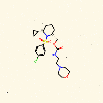 O=C(NCCN1CCOCC1)OC[C@H]1CCC[C@@H](C2CC2)N1S(=O)(=O)c1ccc(Cl)cc1